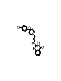 O=c1[nH]c(NCCCN2CCC(O)(c3ccc(Cl)cc3)CC2)nc2ccccc12